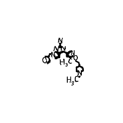 CCN1CCC(CCOc2ncc(-c3nc(C#N)nc4c3ccn4CC3CCOC3)cc2C)CC1